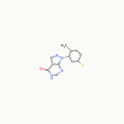 Cc1ccc(F)cc1-n1ncc2c(=O)[nH]cnc21